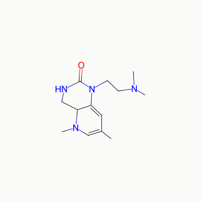 CC1=CN(C)C2CNC(=O)N(CCN(C)C)C2=C1